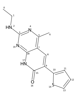 CCNc1nc(C)c2cc(-c3cccs3)c(=O)[nH]c2n1